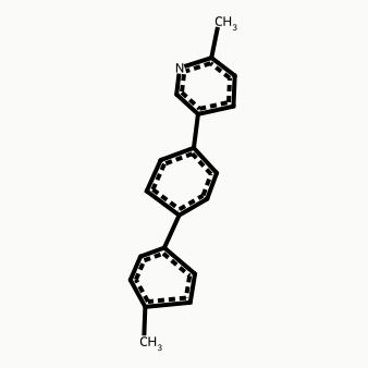 Cc1ccc(-c2ccc(-c3ccc(C)nc3)cc2)cc1